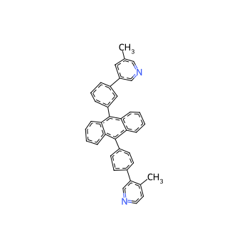 Cc1cncc(-c2cccc(-c3c4ccccc4c(-c4ccc(-c5cnccc5C)cc4)c4ccccc34)c2)c1